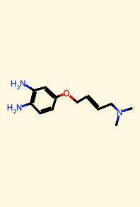 CN(C)CC=CCOc1ccc(N)c(N)c1